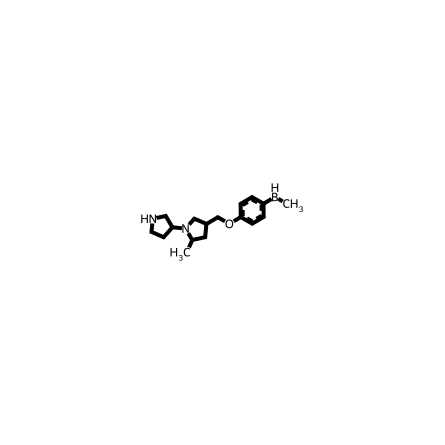 CBc1ccc(OCC2CC(C)N(C3CCNC3)C2)cc1